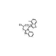 CCC(Sc1nc2ccccc2n1Cc1csc2cccc(C)c12)C(=O)O